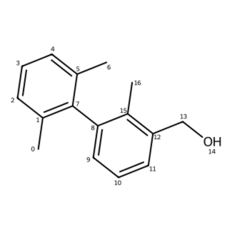 Cc1cccc(C)c1-c1cccc(CO)c1C